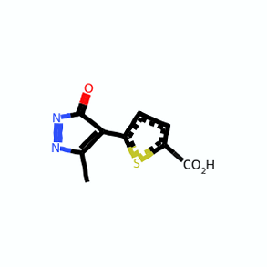 CC1=C(c2ccc(C(=O)O)s2)C(=O)N=N1